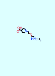 CNCCOCCN1CCC(C(=O)O)CC1